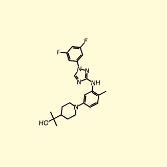 Cc1ccc(N2CCC(C(C)(C)O)CC2)cc1Nc1ncn(-c2cc(F)cc(F)c2)n1